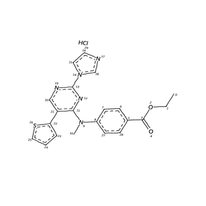 CCOC(=O)c1ccc(N(C)c2nc(-n3ccnc3)ncc2-c2cccs2)cc1.Cl